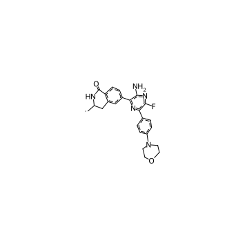 [CH2]C1Cc2cc(-c3nc(-c4ccc(N5CCOCC5)cc4)c(F)nc3N)ccc2C(=O)N1